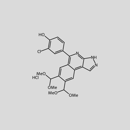 COC(OC)c1cc2c(-c3ccc(O)c(Cl)c3)nc3[nH]ncc3c2cc1C(OC)OC.Cl